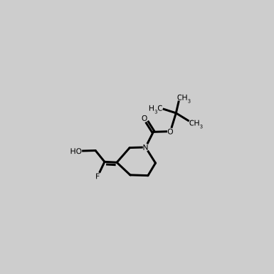 CC(C)(C)OC(=O)N1CCC/C(=C(\F)CO)C1